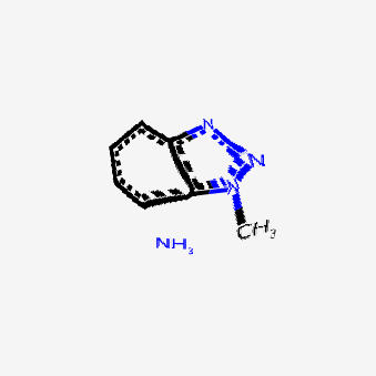 Cn1nnc2ccccc21.N